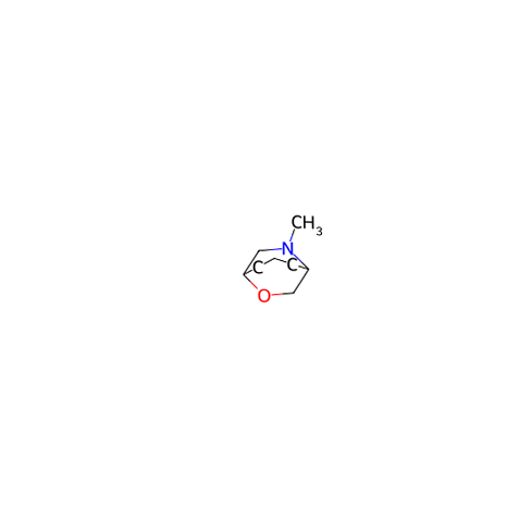 CN1CC2CCCC1CO2